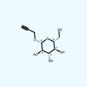 C#CCO[C@@H]1O[C@H](CO)[C@@H](O)[C@H](O)[C@H]1O